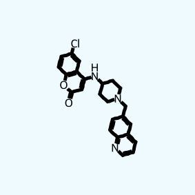 O=c1cc(NC2CCN(Cc3ccc4ncccc4c3)CC2)c2cc(Cl)ccc2o1